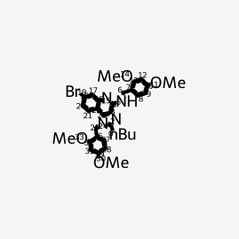 CCCCc1nc2c(NCc3ccc(OC)cc3OC)nc3cc(Br)ccc3c2n1Cc1ccc(OC)cc1OC